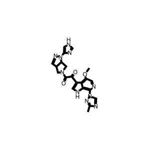 COc1cnc(-n2cnc(C)n2)c2[nH]cc(C(=O)C(=O)N3CC4C=NN(c5c[nH]cn5)C4C3)c12